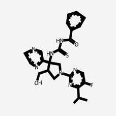 CC(C)c1nc(N2CC(CO)C(NC(=S)NC(=O)c3ccccc3)(c3cnccn3)C2)ncc1F